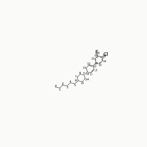 CCCCCCC1CCC(C2C=CC(c3ccc(Cl)c(F)c3)=CC2)CC1